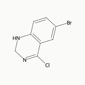 ClC1=NCNc2ccc(Br)cc21